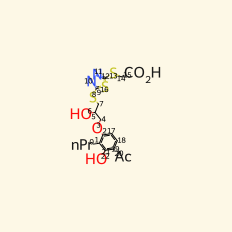 CCCc1c(OCC(O)CSc2nnc(SCC(=O)O)s2)ccc(C(C)=O)c1O